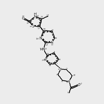 CC(=O)N1CCN(c2ccc(Nc3nccc(-c4sc(=O)[nH]c4C)n3)nc2)CC1